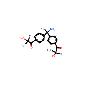 CC(C)(O)C(=O)c1ccc(C(C)(N)c2ccc(C(=O)C(C)(C)O)cc2)cc1